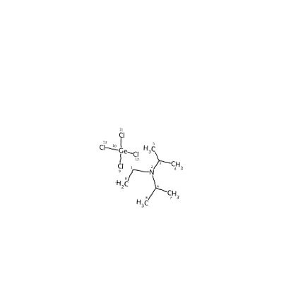 [CH2]CN(C(C)C)C(C)C.[Cl][Ge]([Cl])([Cl])[Cl]